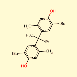 Cc1cc(O)c(C(C)(C)C)cc1C(C)(c1cc(C(C)(C)C)c(O)cc1C)C(C)C